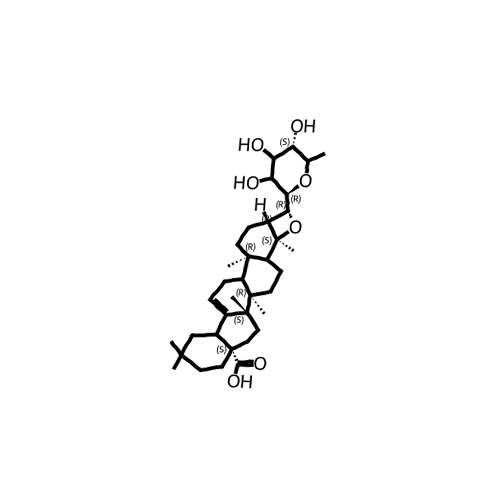 CC1O[C@@H]([C@@H]2O[C@@]3(C)C4CC[C@]5(C)C(CC=C6C7CC(C)(C)CC[C@]7(C(=O)O)CC[C@]65C)[C@@]4(C)CC[C@H]23)C(O)C(O)[C@@H]1O